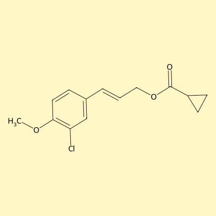 COc1ccc(/C=C/COC(=O)C2CC2)cc1Cl